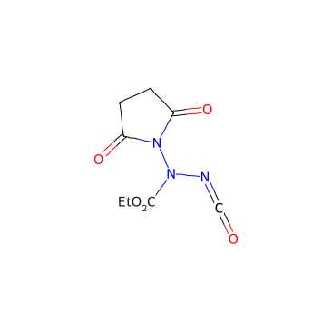 CCOC(=O)N(N=C=O)N1C(=O)CCC1=O